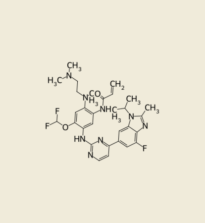 C=CC(=O)Nc1cc(Nc2nccc(-c3cc(F)c4nc(C)n(C(C)C)c4c3)n2)c(OC(F)F)cc1N(C)CCN(C)C